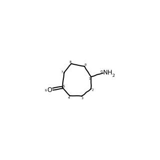 NC1CCCC(=O)CCC1